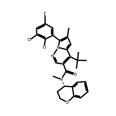 Cc1cc2c(C(C)(C)C)c(C(=O)N(C)[C@H]3CCOc4ccccc43)cnn2c1-c1cc(F)cc(Cl)c1Cl